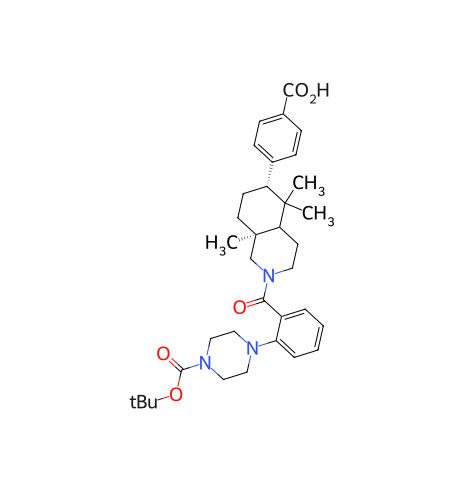 CC(C)(C)OC(=O)N1CCN(c2ccccc2C(=O)N2CCC3C(C)(C)[C@@H](c4ccc(C(=O)O)cc4)CC[C@]3(C)C2)CC1